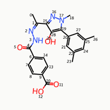 CC(=NNC(=O)c1ccc(C(=O)O)cc1)c1nn(C)c(-c2cc(C)cc(C)c2)c1O